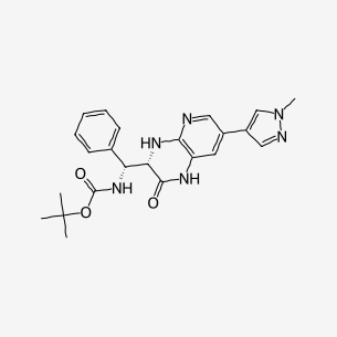 Cn1cc(-c2cnc3c(c2)NC(=O)[C@H]([C@H](NC(=O)OC(C)(C)C)c2ccccc2)N3)cn1